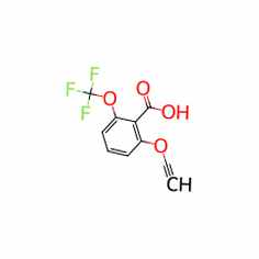 C#COc1cccc(OC(F)(F)F)c1C(=O)O